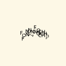 CC(C)(C)OC(=O)N1CCN(c2ncnc3c2c(C2CC2)cn3-c2cc(F)cc(F)c2)C[C@@H]1CF